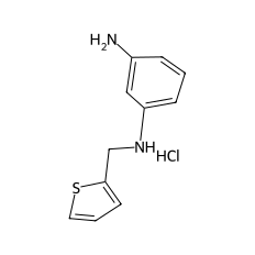 Cl.Nc1cccc(NCc2cccs2)c1